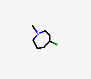 CN1CCCC(F)CC1